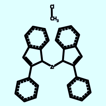 C1=C(c2ccccc2)[CH]([Zr][CH]2C(c3ccccc3)=Cc3ccccc32)c2ccccc21.CCl